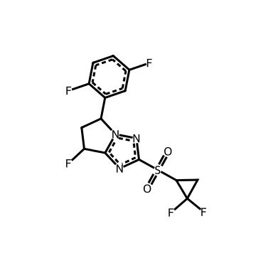 O=S(=O)(c1nc2n(n1)C(c1cc(F)ccc1F)CC2F)C1CC1(F)F